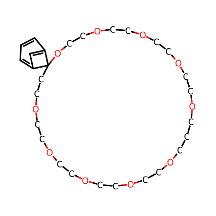 c1cc2cc(c1)C21CCOCCOCCOCCOCCOCCCOCCOCCOCCOCCO1